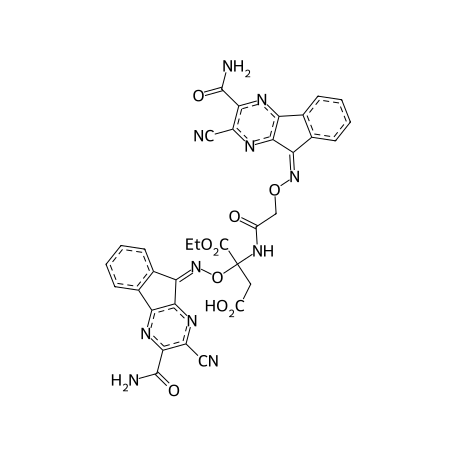 CCOC(=O)C(CC(=O)O)(NC(=O)CON=C1c2ccccc2-c2nc(C(N)=O)c(C#N)nc21)ON=C1c2ccccc2-c2nc(C(N)=O)c(C#N)nc21